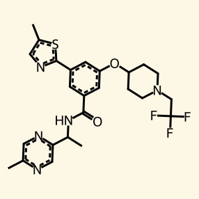 Cc1cnc(C(C)NC(=O)c2cc(OC3CCN(CC(F)(F)F)CC3)cc(-c3ncc(C)s3)c2)cn1